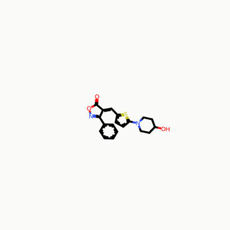 O=C1ON=C(c2ccccc2)/C1=C\c1ccc(N2CCC(O)CC2)s1